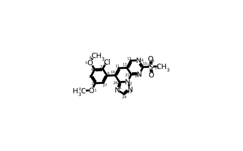 COc1cc(OC)c(Cl)c(-c2cc3cnc(S(C)(=O)=O)nc3n3ncnc23)c1